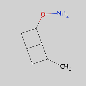 CC1CC2CC(ON)C12